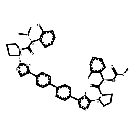 COC(=O)N[C@@H](C(=O)N1CCC[C@H]1c1ncc(-c2ccc(-c3ccc(-c4cnc([C@@H]5CCCN5C(=O)[C@@H](c5ccccc5Cl)N(C)C)[nH]4)cc3)cc2)[nH]1)c1ccccc1I